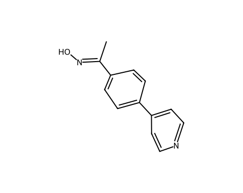 CC(=NO)c1ccc(-c2ccncc2)cc1